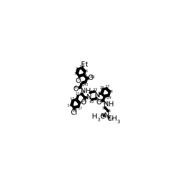 CCc1ccc2oc(C(=O)N[C@H](Cc3ccc(Cl)cc3)C(=O)N3CCN(c4ccccc4C(=O)NCCN(C)C)CC3)cc(=O)c2c1